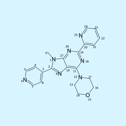 Cn1c(-c2ccncc2)nc2c(N3CCOCC3)nc(-c3ccccn3)nc21